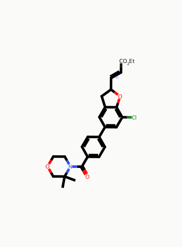 CCOC(=O)/C=C/C1Cc2cc(-c3ccc(C(=O)N4CCOCC4(C)C)cc3)cc(Cl)c2O1